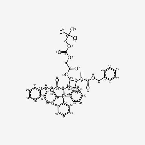 O=C(COC(=O)OCC(Cl)(Cl)Cl)OC1C(NC(=O)OCc2ccccc2)C(=O)N1C(C(=O)OCc1ccccc1)=P(c1ccccc1)(c1ccccc1)c1ccccc1